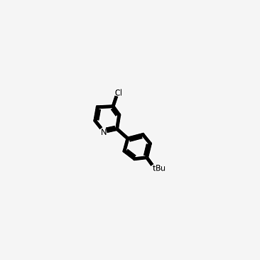 CC(C)(C)c1ccc(-c2cc(Cl)ccn2)cc1